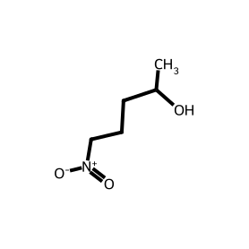 CC(O)CCC[N+](=O)[O-]